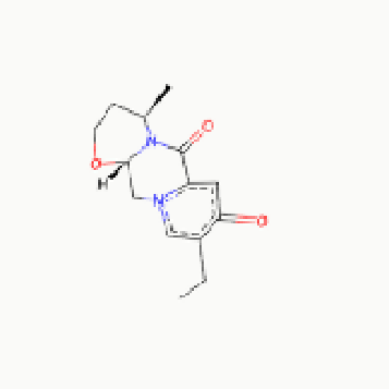 CCc1cn2c(cc1=O)C(=O)N1[C@H](C)CCO[C@H]1C2